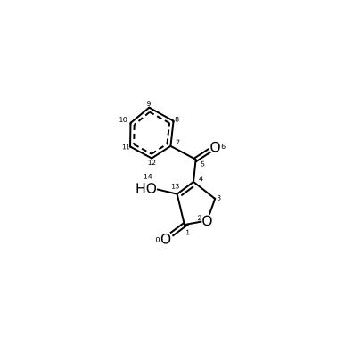 O=C1OCC(C(=O)c2ccccc2)=C1O